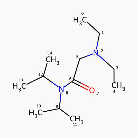 CCN(CC)CC(=O)N(C(C)C)C(C)C